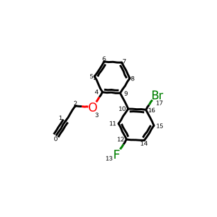 C#CCOc1[c]cccc1-c1cc(F)ccc1Br